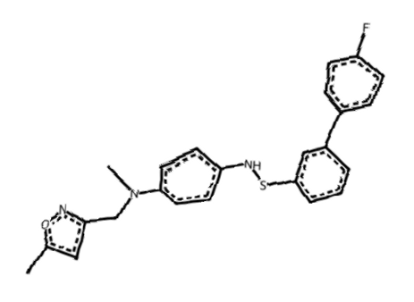 Cc1cc(CN(C)c2ccc(NSc3cccc(-c4ccc(F)cc4)c3)cc2)no1